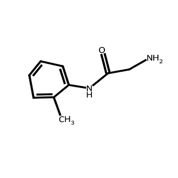 Cc1ccccc1NC(=O)CN